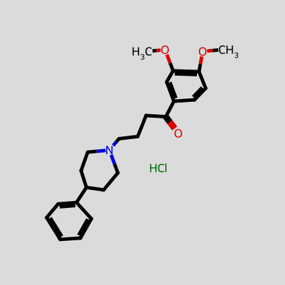 COc1ccc(C(=O)CCCN2CCC(c3ccccc3)CC2)cc1OC.Cl